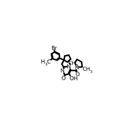 Cc1cc(Br)cc(C2(Cc3nc(=O)c(O)c(C(=O)N4CCCC4C)n3C)CCCC2)c1